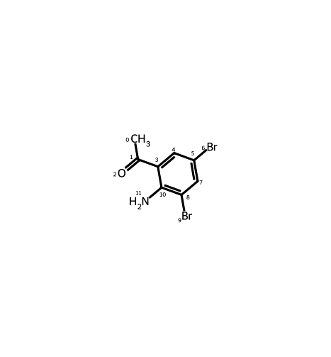 CC(=O)c1cc(Br)cc(Br)c1N